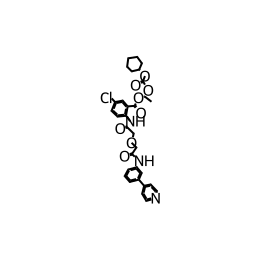 CC(OC(=O)OC1CCCCC1)OC(=O)c1cc(Cl)ccc1NC(=O)COCC(=O)Nc1cccc(-c2ccncc2)c1